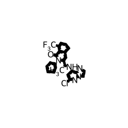 CC(Nc1cc(Cl)nn2ccnc12)c1cc2cccc(C(F)(F)F)c2c(=O)n1-c1ccccc1